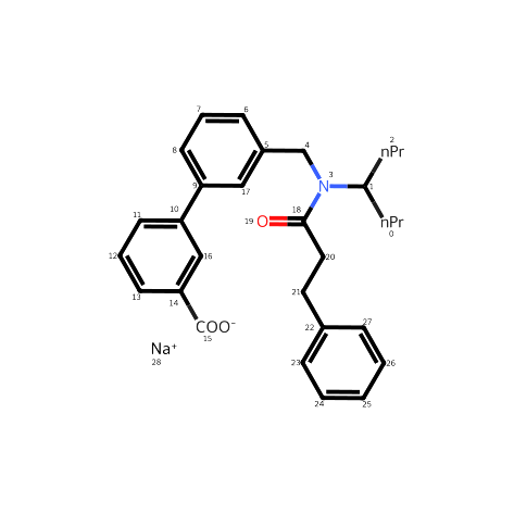 CCCC(CCC)N(Cc1cccc(-c2cccc(C(=O)[O-])c2)c1)C(=O)CCc1ccccc1.[Na+]